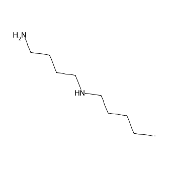 [CH2]CCCCNCCCCN